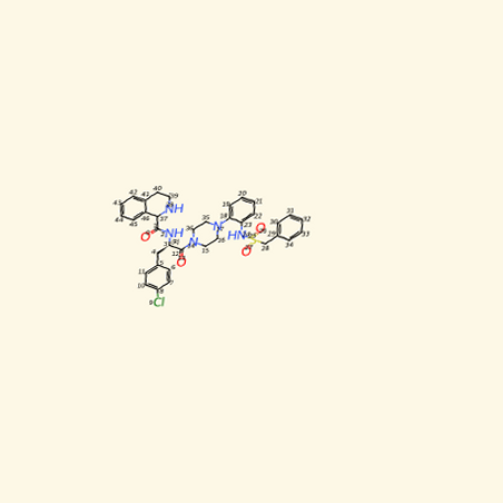 O=C(N[C@H](Cc1ccc(Cl)cc1)C(=O)N1CCN(c2ccccc2NS(=O)(=O)Cc2ccccc2)CC1)C1N[CH]Cc2ccccc21